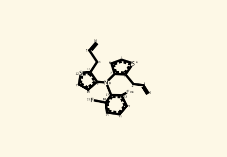 C=CCc1sccc1N(c1ccsc1CC=C)c1c(F)cccc1F